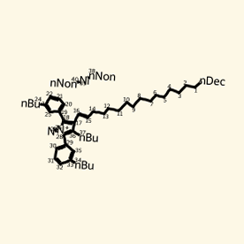 CCCCCCCCCCCCCCCCCCCCCCCCC=CC1=C(c2cccc(CCCC)c2)[N+](=[N-])C(c2cccc(CCCC)c2)=C1CCCC.CCCCCCCC[CH2][Ni][CH2]CCCCCCCC